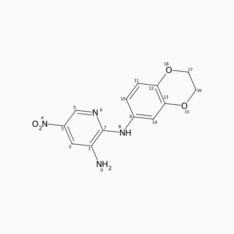 Nc1cc([N+](=O)[O-])cnc1Nc1ccc2c(c1)OCCO2